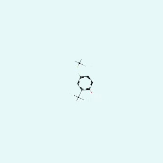 CC(C)(C)Sc1ccc(O)c(C(C)(C)C)c1